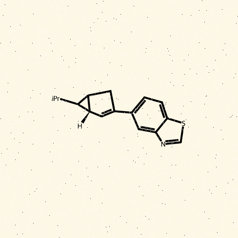 CC(C)C1C2CC(c3ccc4scnc4c3)=C[C@@H]21